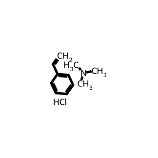 C=Cc1ccccc1.CN(C)C.Cl